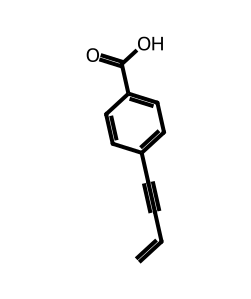 C=CC#Cc1ccc(C(=O)O)cc1